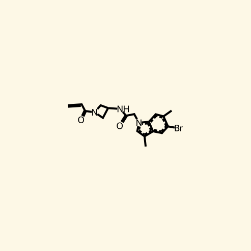 C=CC(=O)N1CC(NC(=O)Cn2cc(C)c3cc(Br)c(C)cc32)C1